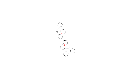 CP(=Nc1ccc(-c2ccc(N=P(c3ccccc3)(c3ccccc3)c3ccccc3)cc2)cc1)(c1ccccc1)c1ccccc1